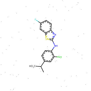 CC(C(=O)O)c1ccc(Nc2nc3ccc(F)cc3s2)c(Cl)c1